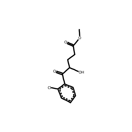 COC(=O)CCC(O)C(=O)c1ccccc1Cl